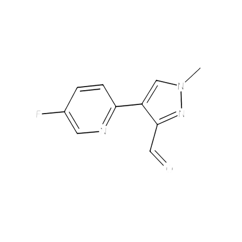 Cn1cc(-c2ccc(F)cn2)c(C=O)n1